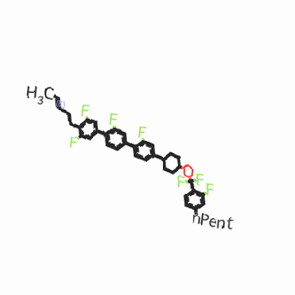 C/C=C/CCc1c(F)cc(-c2ccc(-c3ccc(C4CCC(OC(F)(F)c5ccc(CCCCC)cc5F)CC4)cc3F)cc2F)cc1F